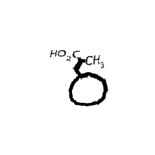 CC(=C/C1=C/CCCCCCCCCC1)C(=O)O